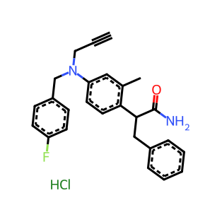 C#CCN(Cc1ccc(F)cc1)c1ccc(C(Cc2ccccc2)C(N)=O)c(C)c1.Cl